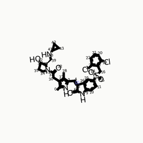 Cc1[nH]c(/C=C2\C(=O)Nc3ccc(S(=O)(=O)Cc4c(Cl)cccc4Cl)cc32)c(C)c1CC(=O)N1CC[C@H](O)[C@H]1CNC1CC1